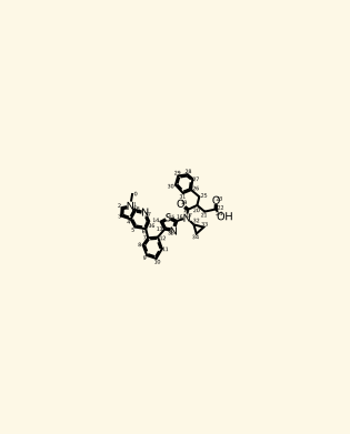 Cn1ccc2cc(-c3ccccc3-c3csc(N(C(=O)C(CC(=O)O)Cc4ccccc4)C4CC4)n3)cnc21